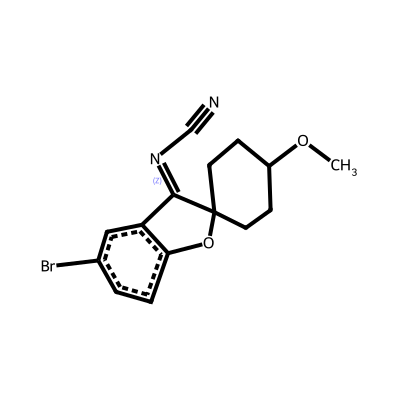 COC1CCC2(CC1)Oc1ccc(Br)cc1/C2=N/C#N